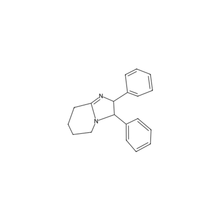 c1ccc(C2N=C3CCCCN3C2c2ccccc2)cc1